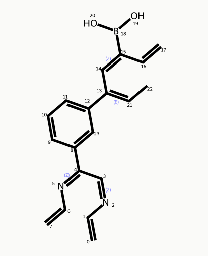 C=C/N=C\C(=N/C=C)c1cccc(C(/C=C(\C=C)B(O)O)=C/C)c1